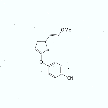 COC=Cc1ccc(Oc2ccc(C#N)cc2)s1